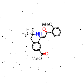 COC(=O)c1ccc2c(c1)C(=CC(=O)c1ccccc1OC)NC(C)(C)C2